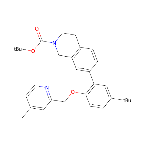 Cc1ccnc(COc2ccc(C(C)(C)C)cc2-c2ccc3c(c2)CN(C(=O)OC(C)(C)C)CC3)c1